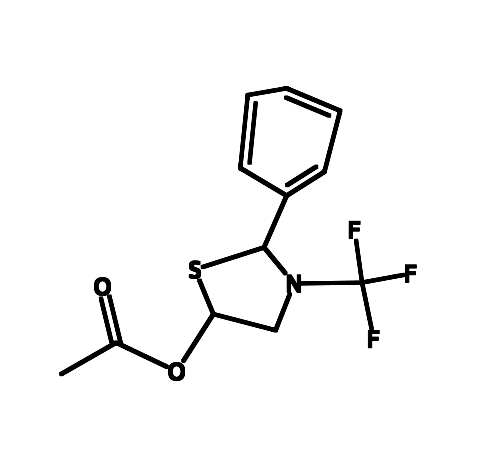 CC(=O)OC1CN(C(F)(F)F)C(c2ccccc2)S1